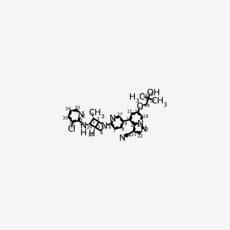 C[C@@H]1C2[C@@H](CN2c2ccc(-c3cc(OCC(C)(C)O)cn4ncc(C#N)c34)cn2)[C@H]1Nc1ncccc1Cl